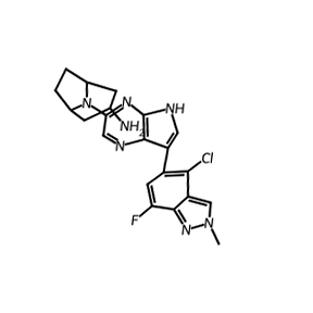 Cn1cc2c(Cl)c(-c3c[nH]c4nc(N5C6CCC5CC(N)C6)cnc34)cc(F)c2n1